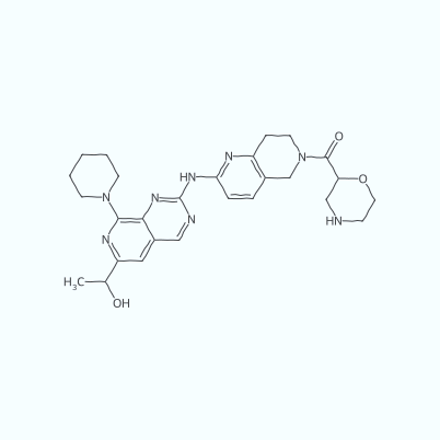 CC(O)c1cc2cnc(Nc3ccc4c(n3)CCN(C(=O)C3CNCCO3)C4)nc2c(N2CCCCC2)n1